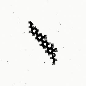 C/C=C/C1CC=C(c2ccc(-c3ccc(-c4ccc(OCCC)c(F)c4F)cc3)c(F)c2)CC1